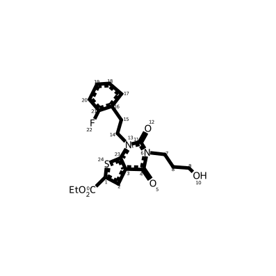 CCOC(=O)c1cc2c(=O)n(CCCO)c(=O)n(CCc3ccccc3F)c2s1